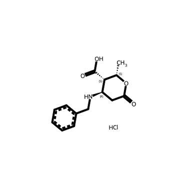 C[C@@H]1OC(=O)C[C@@H](NCc2ccccc2)[C@@H]1C(=O)O.Cl